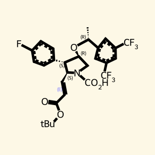 C[C@@H](O[C@H]1CN(C(=O)O)[C@@H](/C=C/C(=O)OC(C)(C)C)[C@@H]1c1ccc(F)cc1)c1cc(C(F)(F)F)cc(C(F)(F)F)c1